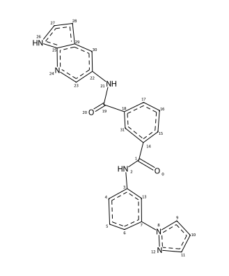 O=C(Nc1cccc(-n2cccn2)c1)c1cccc(C(=O)Nc2cnc3[nH]ccc3c2)c1